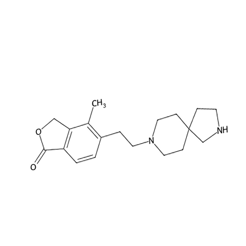 Cc1c(CCN2CCC3(CCNC3)CC2)ccc2c1COC2=O